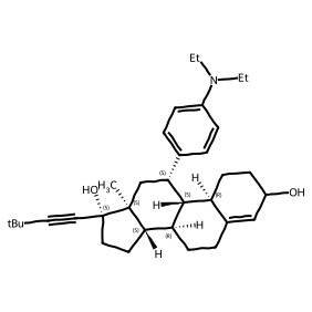 CCN(CC)c1ccc([C@H]2C[C@@]3(C)[C@@H](CC[C@@]3(O)C#CC(C)(C)C)[C@@H]3CCC4=CC(O)CC[C@@H]4[C@H]32)cc1